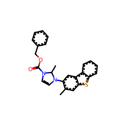 Cc1cc2sc3ccccc3c2cc1N1C=CN(C(=O)OCc2ccccc2)C1C